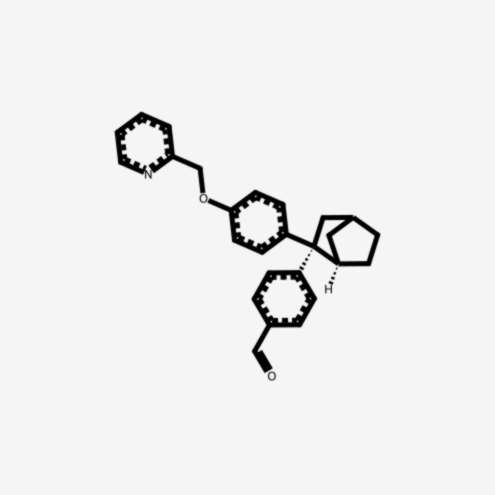 O=Cc1ccc([C@]2(c3ccc(OCc4ccccn4)cc3)CC3CC[C@@H]2C3)cc1